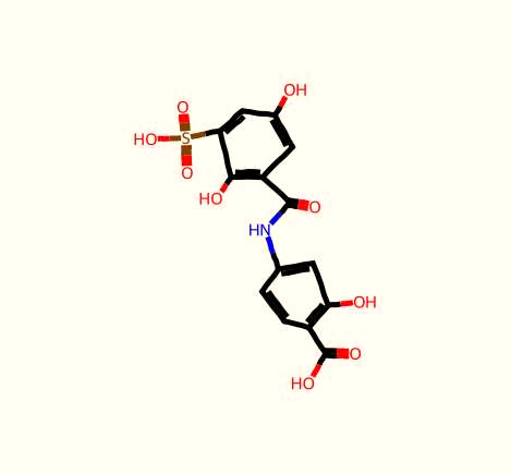 O=C(O)c1ccc(NC(=O)c2cc(O)cc(S(=O)(=O)O)c2O)cc1O